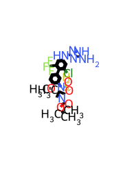 COc1ccc(-c2c(Cl)cc(Nc3n[nH]c(N)n3)cc2C(F)(F)F)cc1N([SH](=O)=O)C1(C)CN(C(=O)OC(C)(C)C)C1